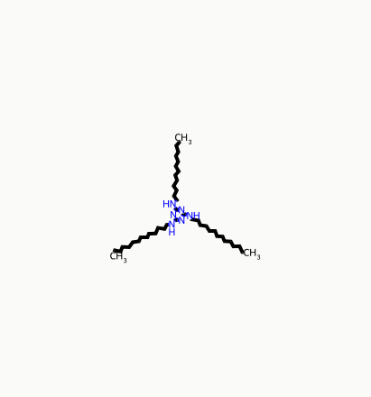 CCCCCCCCCCCCCCNc1nc(NCCCCCCCCCCCCCC)nc(NCCCCCCCCCCCCCC)n1